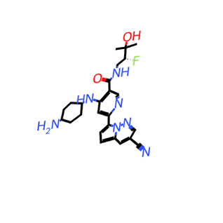 CC(C)(O)[C@H](F)CNC(=O)c1cnc(-c2ccc3cc(C#N)cnn23)cc1N[C@H]1CC[C@H](N)CC1